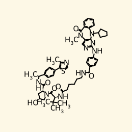 Cc1ncsc1-c1ccc([C@H](C)NC(=O)[C@@H]2C[C@@H](O)CN2C(=O)[C@@H](NC(=O)CCCCCNC(=O)c2ccc(Nc3ncc4c(n3)N(C3CCCC3)c3ccccc3C(=O)N4C)cc2)C(C)(C)C)cc1